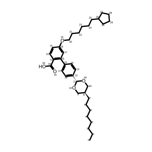 CCCCCCCC[C@H]1CO[C@H](c2ccc(-c3cc(OCCCCCCC4CCCC4)ccc3C(=O)O)cc2)OC1